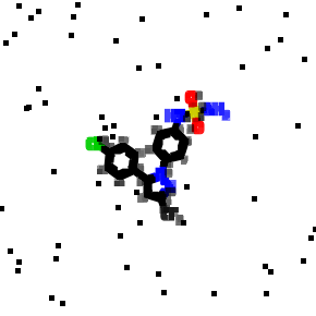 NS(=O)(=O)Nc1ccc(-n2nc(C(F)(F)F)cc2-c2ccc(Cl)cc2)cc1